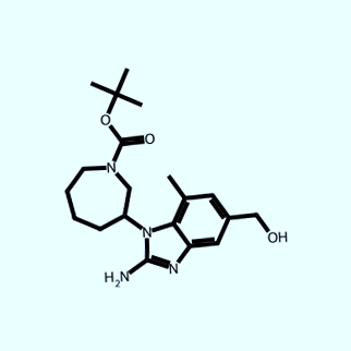 Cc1cc(CO)cc2nc(N)n(C3CCCCN(C(=O)OC(C)(C)C)C3)c12